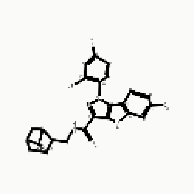 CC1(C)C2CCC(CNC(=O)c3nn(-c4ccc(F)cc4F)c4c3oc3cc(Cl)ccc34)C1C2